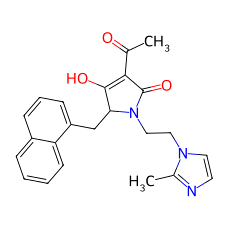 CC(=O)C1=C(O)C(Cc2cccc3ccccc23)N(CCn2ccnc2C)C1=O